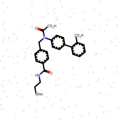 CCCCCCCCCCCCNC(=O)c1ccc(CN(C(=O)C(=O)O)c2ccc(-c3ccccc3C(=O)O)cc2)cc1